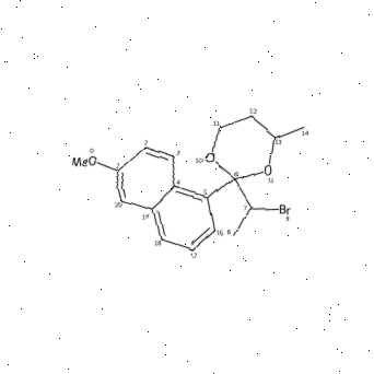 COc1ccc2c(C3(C(C)Br)OCCC(C)O3)cccc2c1